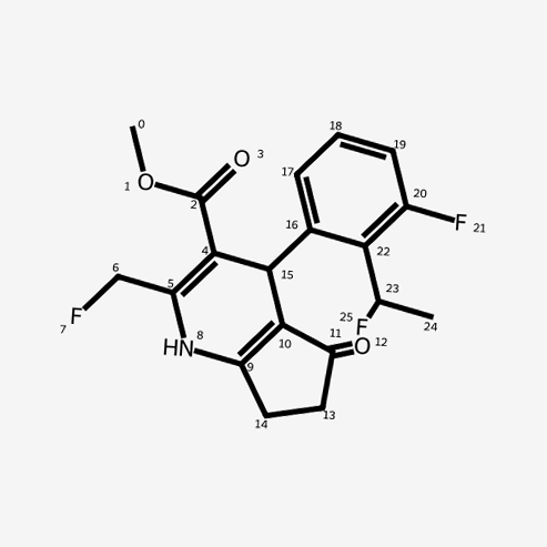 COC(=O)C1=C(CF)NC2=C(C(=O)CC2)C1c1cccc(F)c1C(C)F